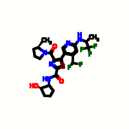 C[C@H](Nc1cc(C(F)F)c(-c2sc(C(=O)N[C@H]3CCC[C@@H]3O)nc2C(=O)N2CCC[C@@H]2C)cn1)C(F)(F)F